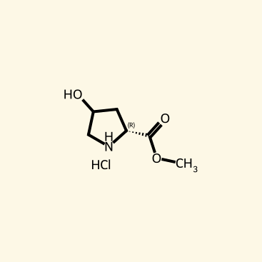 COC(=O)[C@H]1CC(O)CN1.Cl